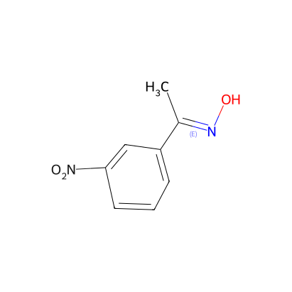 C/C(=N\O)c1cccc([N+](=O)[O-])c1